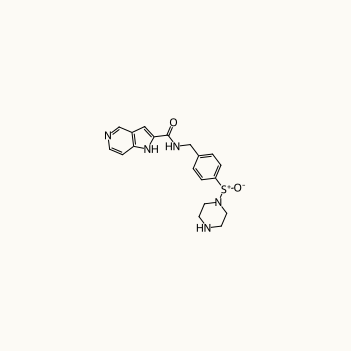 O=C(NCc1ccc([S+]([O-])N2CCNCC2)cc1)c1cc2cnccc2[nH]1